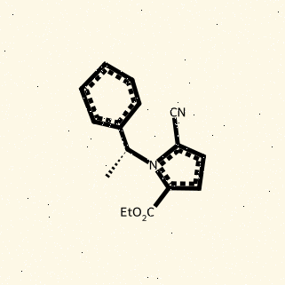 CCOC(=O)c1ccc(C#N)n1[C@H](C)c1ccccc1